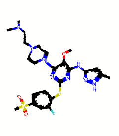 COc1c(Nc2cc(C)[nH]n2)nc(Sc2ccc(S(C)(=O)=O)cc2F)nc1N1CCN(CCN(C)C)CC1